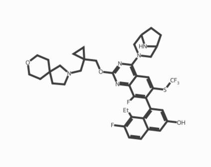 CCc1c(F)ccc2cc(O)cc(-c3c(SC(F)(F)F)cc4c(N5CC6CCC(C5)N6)nc(OCC5(CN6CCC7(CCOCC7)C6)CC5)nc4c3F)c12